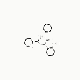 O=C1C(c2ccccc2O)CC(c2ccccn2)=NN1c1ccccc1